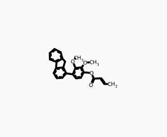 CC=CC(=O)Oc1ccc(-c2cccc3c2Cc2ccccc2-3)c(OC)c1OC